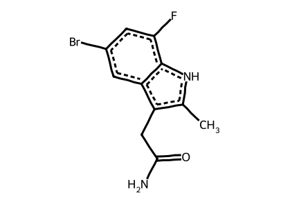 Cc1[nH]c2c(F)cc(Br)cc2c1CC(N)=O